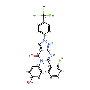 O=c1c2cn(-c3ccc(C(F)(F)F)cc3)nc2nc(-c2ccccc2F)n1-c1ccc(Br)cc1